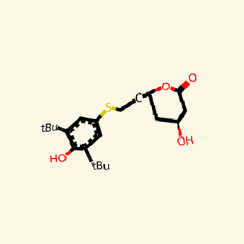 CC(C)(C)c1cc(SCCC2C[C@H](O)CC(=O)O2)cc(C(C)(C)C)c1O